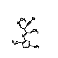 C=C/C(=N\c1cc(CCC)ccc1C)C(C#CCC)/C=N\C